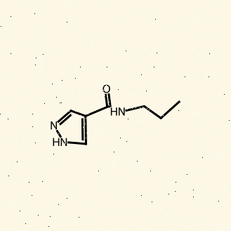 CCCNC(=O)c1cn[nH]c1